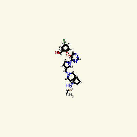 CCSNC1CCCC12CCN(CC1CCN(c3ncncc3Oc3ccc(F)cc3C=O)C1)CC2